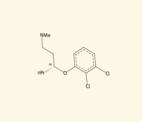 CCC[C@H](CCNC)Oc1cccc(Cl)c1Cl